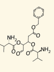 CC(C)[C@H](N)C(=O)OC(C=O)C(CC(=O)OCc1ccccc1)OC(=O)[C@@H](N)C(C)C